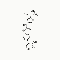 CC(O)N(C=N)c1ccc(NC(=O)Nc2cc(C(C)(C)C)on2)cc1